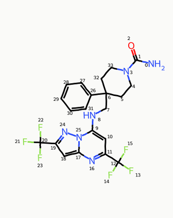 NC(=O)N1CCC(CNc2cc(C(F)(F)F)nc3cc(C(F)(F)F)nn23)(c2ccccc2)CC1